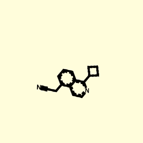 N#CCc1cccc2c(C3CCC3)nccc12